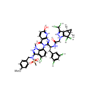 COc1ccc(CN(c2nn(C)c3c(-n4c([C@H](Cc5cc(F)cc(F)c5)NC(=O)Cn5nc(C(F)F)c6c5C(F)(F)[C@@H]5C[C@H]65)nc5nc(O)ccc5c4=O)ccc(Cl)c23)S(C)(=O)=O)cc1